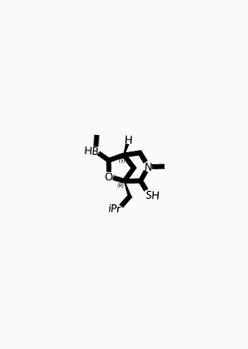 CBC1O[C@]2(CC(C)C)C[C@H]1CN(C)C2S